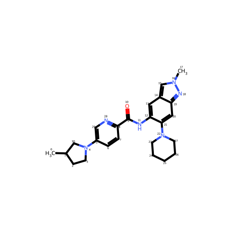 CC1CCN(c2ccc(C(=O)Nc3cc4cn(C)nc4cc3N3CCCCC3)nc2)C1